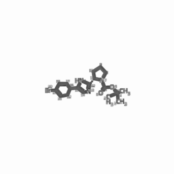 CC(C)(C)OC(=O)N1CCC[C@H]1c1ncc(C2C=CC(Br)=CC2)[nH]1